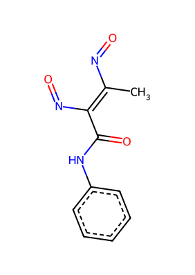 C/C(N=O)=C(/N=O)C(=O)Nc1ccccc1